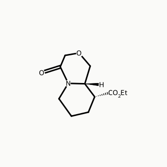 CCOC(=O)[C@@H]1CCCN2C(=O)COC[C@H]12